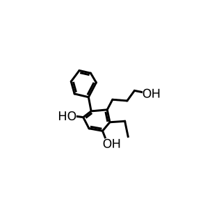 CCc1c(O)cc(O)c(-c2ccccc2)c1CCCO